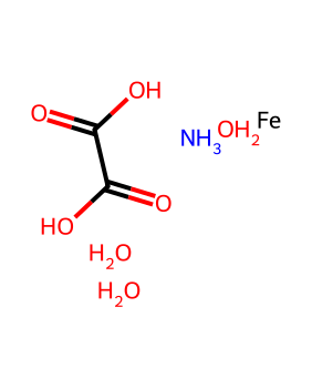 N.O.O.O.O=C(O)C(=O)O.[Fe]